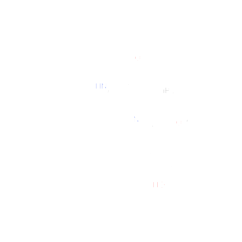 CCC(C)C1C(=O)Nc2ccccc2CN1C(=O)CCO